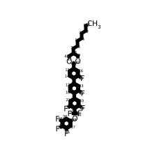 CCCCCCCCC1COC(c2ccc(-c3ccc(-c4cc(F)c(C(F)(F)Oc5cc(F)c(F)c(F)c5)c(F)c4)c(F)c3)c(F)c2)OC1